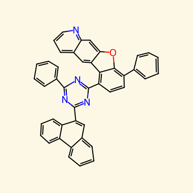 c1ccc(-c2nc(-c3cc4ccccc4c4ccccc34)nc(-c3ccc(-c4ccccc4)c4oc5cc6ncccc6cc5c34)n2)cc1